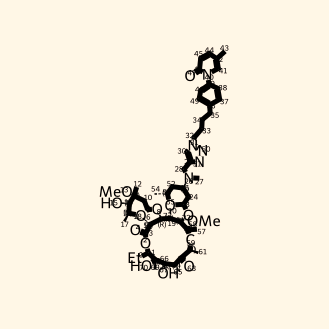 CCC1OC(=O)[C@H](C)[C@H](OC2C[C@@](C)(OC)[C@@H](O)[C@H](C)O2)[C@H](C)[C@@H](OC2C[C@@H](N(C)Cc3cn(CCCCc4ccc(-n5cc(C)ccc5=O)cc4)nn3)C[C@@H](C)O2)[C@@](C)(OC)C[C@@H](C)C(=O)[C@H](C)[C@@H](O)[C@]1(C)O